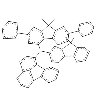 CC1(C)c2ccccc2-c2ccc(N(c3cc(-c4ccccc4)cc4c3-c3ccc(-c5ccccc5)cc3C4(C)C)c3ccc4cccc5c4c3-c3ccccc3-5)cc21